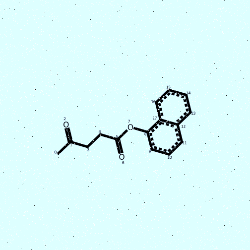 CC(=O)CCC(=O)Oc1cccc2ccccc12